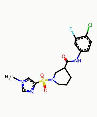 Cn1cnc(S(=O)(=O)N2CCCC(C(=O)Nc3ccc(Cl)c(F)c3)C2)c1